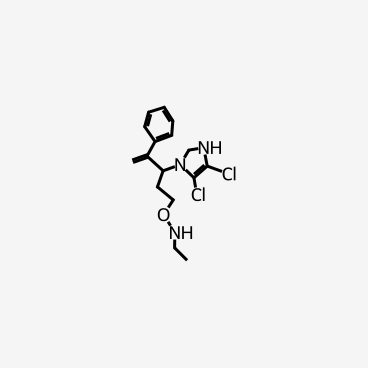 C=C(c1ccccc1)C(CCONCC)N1CNC(Cl)=C1Cl